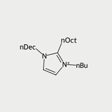 CCCCCCCCCCn1cc[n+](CCCC)c1CCCCCCCC